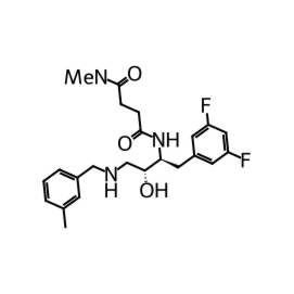 CNC(=O)CCC(=O)N[C@@H](Cc1cc(F)cc(F)c1)[C@H](O)CNCc1cccc(C)c1